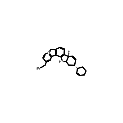 CC(C)Cc1cc[n+]2c(c1)-c1c(ccc3c1PC1C[C@@H](C4C=CCCC4)C=C[C@@H]31)C2